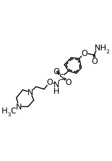 CN1CCN(CCONS(=O)(=O)c2ccc(OC(N)=O)cc2)CC1